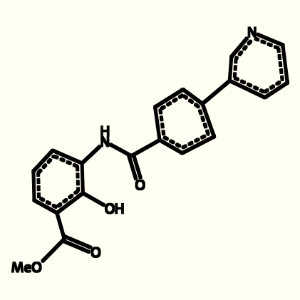 COC(=O)c1cccc(NC(=O)c2ccc(-c3cccnc3)cc2)c1O